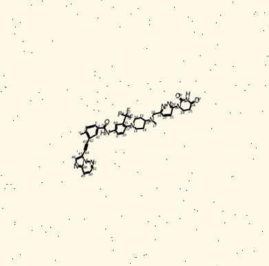 Cc1ccc(C(=O)Nc2ccc(N3CCC(N(C)Cc4ccc(N5CCC(=O)NC5=O)nn4)CC3)c(C(F)(F)F)c2)cc1C#Cc1cnc2cccnn12